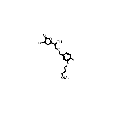 COCCCOc1cc(COCC(O)C2CC(C(C)C)C(=O)O2)ccc1F